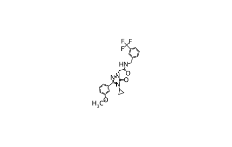 COc1cccc(-c2nn(CC(=O)NCc3cccc(C(F)(F)F)c3)c(=O)n2C2CC2)c1